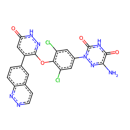 Nc1nn(-c2cc(Cl)c(Oc3n[nH]c(=O)cc3-c3ccc4nnccc4c3)c(Cl)c2)c(=O)[nH]c1=O